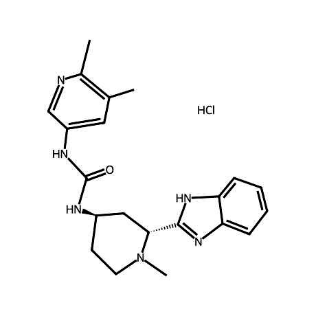 Cc1cc(NC(=O)N[C@@H]2CCN(C)[C@@H](c3nc4ccccc4[nH]3)C2)cnc1C.Cl